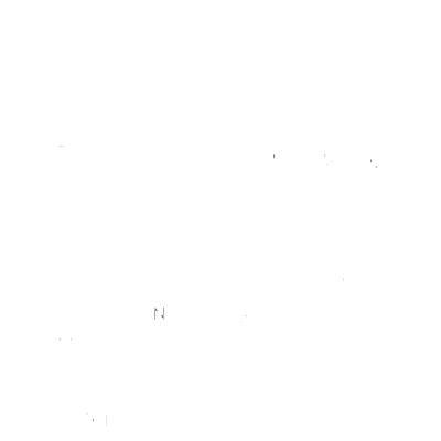 Cc1c(Cc2cscc2S(=O)(=O)c2ccccc2)c2cc(F)ccc2n1CC(=O)O